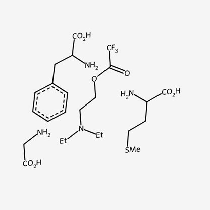 CCN(CC)CCOC(=O)C(F)(F)F.CSCCC(N)C(=O)O.NC(Cc1ccccc1)C(=O)O.NCC(=O)O